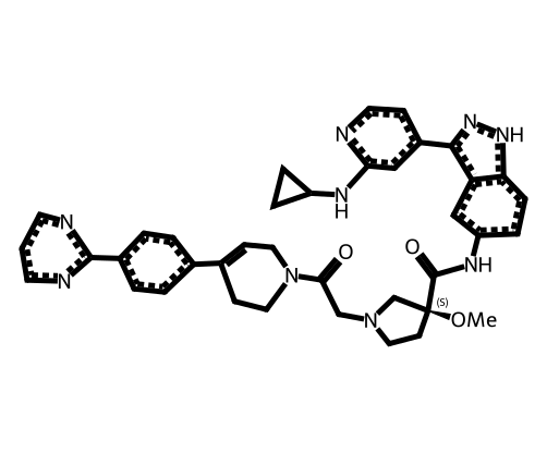 CO[C@@]1(C(=O)Nc2ccc3[nH]nc(-c4ccnc(NC5CC5)c4)c3c2)CCN(CC(=O)N2CC=C(c3ccc(-c4ncccn4)cc3)CC2)C1